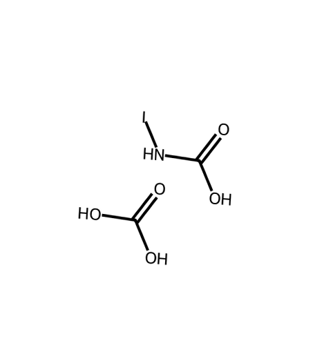 O=C(O)NI.O=C(O)O